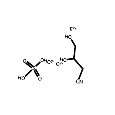 O=S(=O)(O)O.OCC(O)CO.[O-2].[O-2].[Ti+4]